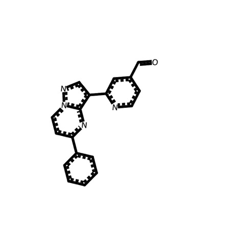 O=Cc1ccnc(-c2cnn3ccc(-c4ccccc4)nc23)c1